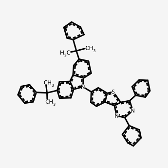 CC(C)(c1ccccc1)c1ccc2c(c1)c1cc(C(C)(C)c3ccccc3)ccc1n2-c1ccc2c(c1)sc1c(-c3ccccc3)nc(-c3ccccc3)nc12